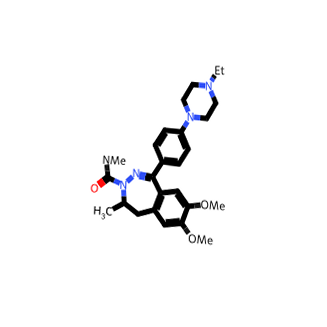 CCN1CCN(c2ccc(C3=NN(C(=O)NC)C(C)Cc4cc(OC)c(OC)cc43)cc2)CC1